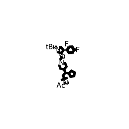 CC(=O)N(C)C(C)(C)CC(C1CCCC1)C1CCN(CO[C@@H]2CN(C(C)(C)C)C[C@H]2c2ccc(F)cc2F)CC1